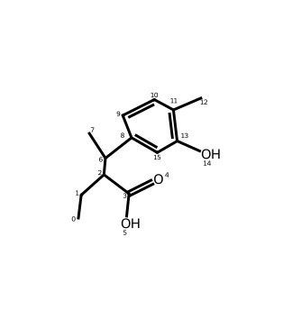 CCC(C(=O)O)C(C)c1ccc(C)c(O)c1